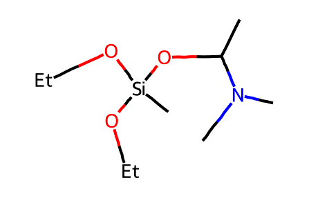 CCO[Si](C)(OCC)OC(C)N(C)C